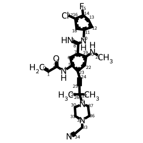 C=CC(=O)Nc1cc(C(=N)Nc2ccc(F)c(Cl)c2)c(NC)cc1C#CC(C)(C)N1CCN(CC#N)CC1